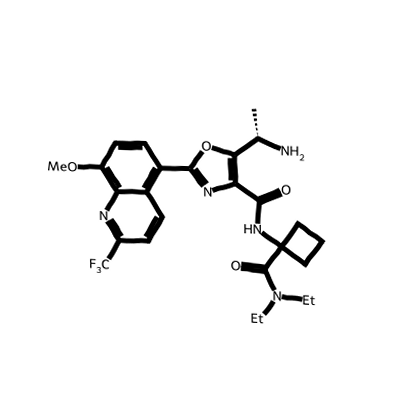 CCN(CC)C(=O)C1(NC(=O)c2nc(-c3ccc(OC)c4nc(C(F)(F)F)ccc34)oc2[C@H](C)N)CCC1